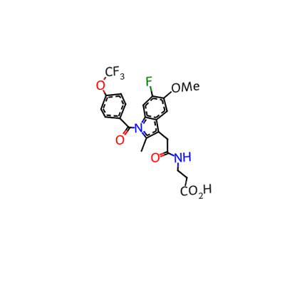 COc1cc2c(CC(=O)NCCC(=O)O)c(C)n(C(=O)c3ccc(OC(F)(F)F)cc3)c2cc1F